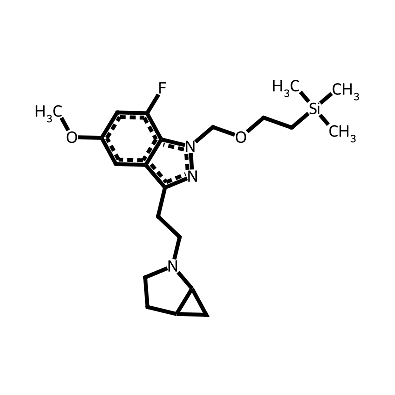 COc1cc(F)c2c(c1)c(CCN1CCC3CC31)nn2COCC[Si](C)(C)C